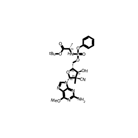 COc1nc(N)nc2c1ncn2[C@@H]1O[C@H](COP(=O)(N[C@@H](C)C(=O)OC(C)(C)C)Oc2ccccc2)[C@@H](O)[C@@]1(C)C#N